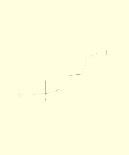 C=CCOC(=O)C(C)(C(C)(C)C)C(C)(C)C